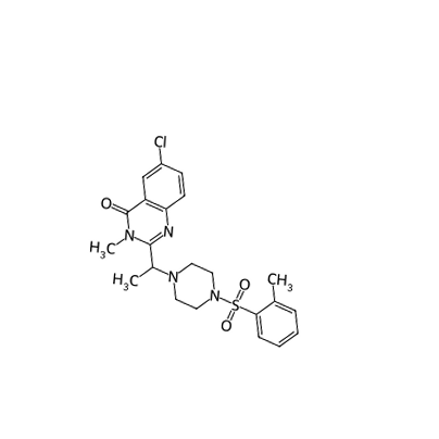 Cc1ccccc1S(=O)(=O)N1CCN(C(C)c2nc3ccc(Cl)cc3c(=O)n2C)CC1